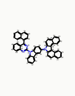 c1ccc2c(-c3nc(-n4c5ccccc5c5cc(-n6c7ccc8ccccc8c7c7c8ccccc8ccc76)ccc54)nc4ccccc34)cccc2c1